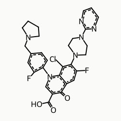 O=C(O)c1cn(-c2ccc(CN3CCCC3)cc2F)c2c(Cl)c(N3CCN(c4ncccn4)CC3)c(F)cc2c1=O